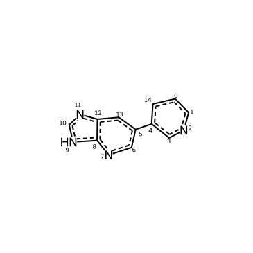 c1cncc(-c2cnc3[nH]cnc3c2)c1